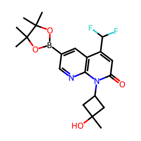 CC1(O)CC(n2c(=O)cc(C(F)F)c3cc(B4OC(C)(C)C(C)(C)O4)cnc32)C1